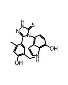 CCc1cc(-c2n[nH]c(=S)n2-c2ccc(O)c3[nH]ccc23)c(C)cc1O